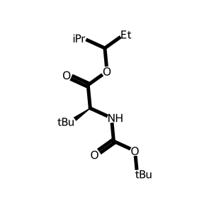 CCC(OC(=O)[C@@H](NC(=O)OC(C)(C)C)C(C)(C)C)C(C)C